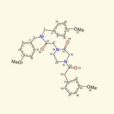 COc1ccc(CN(Cc2ccc(OC)cc2)C(=O)CN2CCN(C(=O)Cc3cccc(OC)c3)CC2=O)cc1